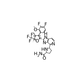 COc1c([C@H]2[C@H](c3nc4c(C5CCC(C(N)=O)N5)nccc4[nH]3)O[C@@](C)(C(F)(F)F)[C@H]2C)ccc(F)c1F